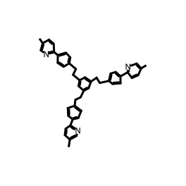 Cc1ccc(-c2ccc(CCc3cc(CCc4ccc(-c5ccc(C)cn5)cc4)cc(CCc4ccc(-c5ccc(C)cn5)cc4)c3)cc2)nc1